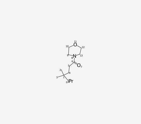 CC(C)C(C)(C)CCC(=O)N1CCOCC1